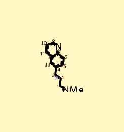 CNC/C=C/c1ccc2ncccc2c1